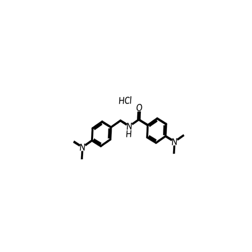 CN(C)c1ccc(CNC(=O)c2ccc(N(C)C)cc2)cc1.Cl